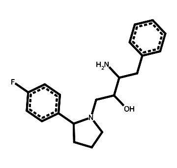 NC(Cc1ccccc1)C(O)CN1CCCC1c1ccc(F)cc1